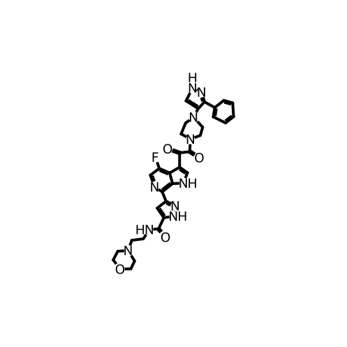 O=C(NCCN1CCOCC1)c1cc(-c2ncc(F)c3c(C(=O)C(=O)N4CCN(c5c[nH]nc5-c5ccccc5)CC4)c[nH]c23)n[nH]1